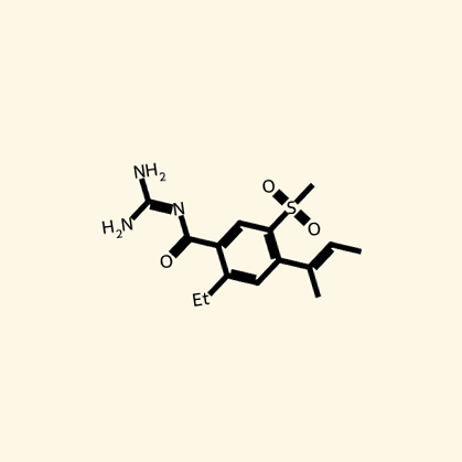 CC=C(C)c1cc(CC)c(C(=O)N=C(N)N)cc1S(C)(=O)=O